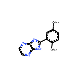 COc1ccc(OC)c(-c2nc3nccnc3[nH]2)c1